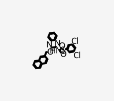 O=S(=O)(Nc1nc2ccccc2nc1OCc1ccc2ccccc2c1)c1cc(Cl)cc(Cl)c1